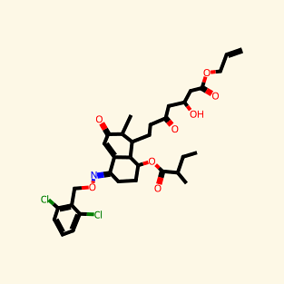 C=CCOC(=O)CC(O)CC(=O)CCC1C(C)C(=O)C=C2C(=NOCc3c(Cl)cccc3Cl)CCC(OC(=O)C(C)CC)C21